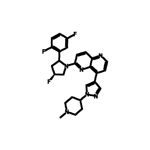 CN1CCC(n2cc(-c3ccnc4ccc(N5C[C@@H](F)CC5c5cc(F)ccc5F)nc34)cn2)CC1